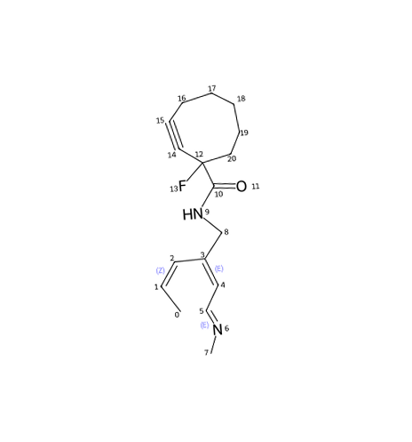 C\C=C/C(=C\C=N\C)CNC(=O)C1(F)C#CCCCCC1